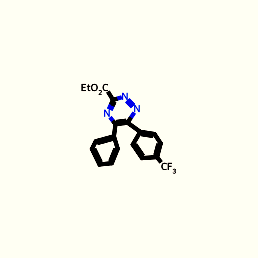 CCOC(=O)c1nnc(-c2ccc(C(F)(F)F)cc2)c(-c2ccccc2)n1